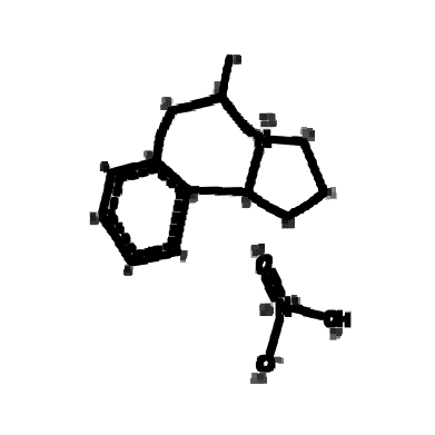 CC1Cc2ccccc2C2CCCN12.O=[N+]([O-])O